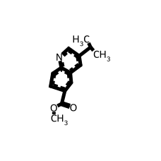 COC(=O)c1ccc2ncc(C(C)C)cc2c1